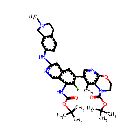 Cc1c(-c2cc3cc(Nc4ccc5c(c4)CN(C)CC5)ncc3c(NC(=O)OC(C)(C)C)c2F)cnc2c1N(C(=O)OC(C)(C)C)CCO2